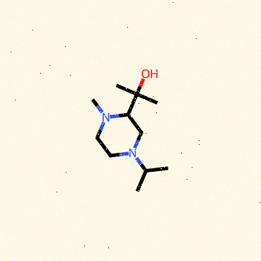 CC(C)N1CCN(C)C(C(C)(C)O)C1